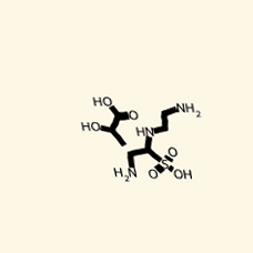 CC(O)C(=O)O.NCCNC(CN)S(=O)(=O)O